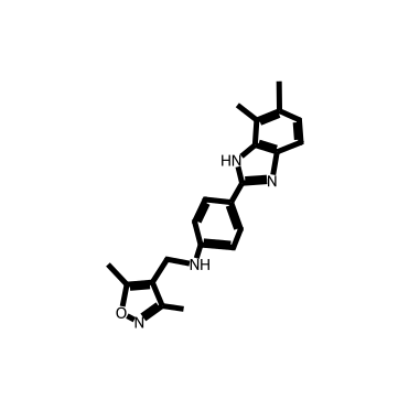 Cc1ccc2nc(-c3ccc(NCc4c(C)noc4C)cc3)[nH]c2c1C